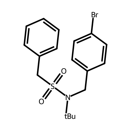 CC(C)(C)N(Cc1ccc(Br)cc1)S(=O)(=O)Cc1ccccc1